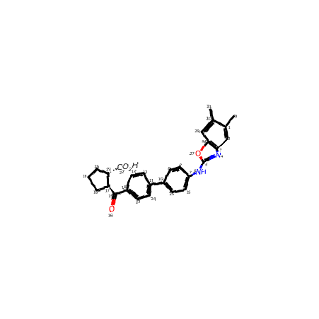 Cc1cc2nc(Nc3ccc(-c4ccc(C(=O)[C@H]5CCC[C@@H]5C(=O)O)cc4)cc3)oc2cc1C